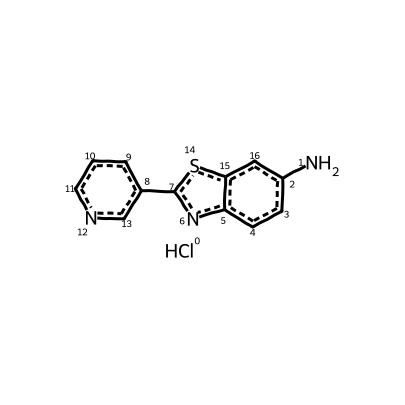 Cl.Nc1ccc2nc(-c3cccnc3)sc2c1